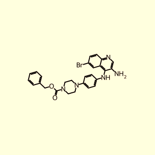 Nc1cnc2ccc(Br)cc2c1Nc1ccc(N2CCN(C(=O)OCc3ccccc3)CC2)cc1